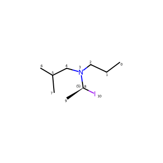 CCCN(CC(C)C)[C@H](C)I